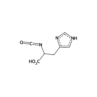 O=C=NC(Cc1c[nH]cn1)C(=O)O